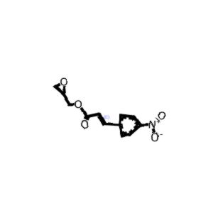 O=C(/C=C/c1ccc([N+](=O)[O-])cc1)OCC1CO1